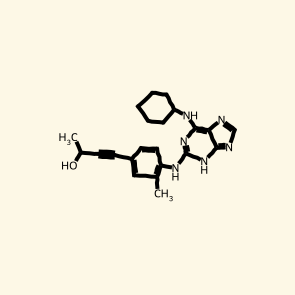 Cc1cc(C#CC(C)O)ccc1Nc1nc(NC2CCCCC2)c2ncnc-2[nH]1